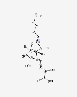 CCCCC(F)[C@H](O)/C=C/[C@@H]1[C@H]2C(F)/C(=C/CCCC(=O)[O-])O[C@@H]2C[C@H]1O.[Na+]